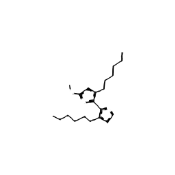 CCCCCCc1ccsc1-c1sc(SC)cc1CCCCCC